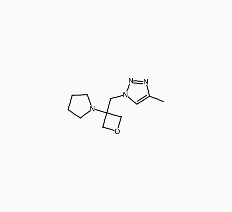 Cc1cn(CC2(N3CCCC3)COC2)nn1